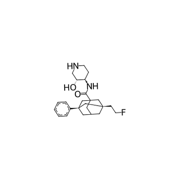 O=C(N[C@@H]1CCNC[C@H]1O)C12CC3C[C@@](CCF)(C1)C[C@](c1ccccc1)(C3)C2